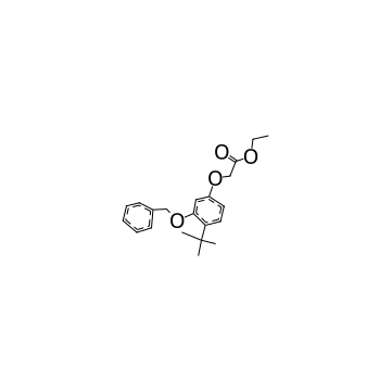 CCOC(=O)COc1ccc(C(C)(C)C)c(OCc2ccccc2)c1